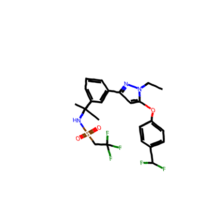 CCn1nc(-c2cccc(C(C)(C)NS(=O)(=O)CC(F)(F)F)c2)cc1Oc1ccc(C(F)F)cc1